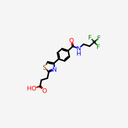 O=C(O)CCc1nc(-c2ccc(C(=O)NCCC(F)(F)F)cc2)cs1